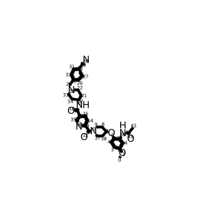 COc1ccc(OC2CCN(C(=O)c3ccc(C(=O)NC4CCN(Cc5ccc(C#N)cc5)CC4)cn3)CC2)c(NC(C)=O)c1